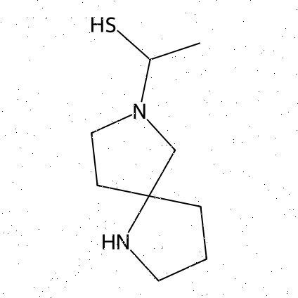 CC(S)N1CCC2(CCCN2)C1